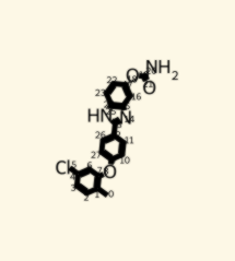 Cc1ccc(Cl)cc1Oc1ccc(-c2nc3cc(OC(N)=O)ccc3[nH]2)cc1